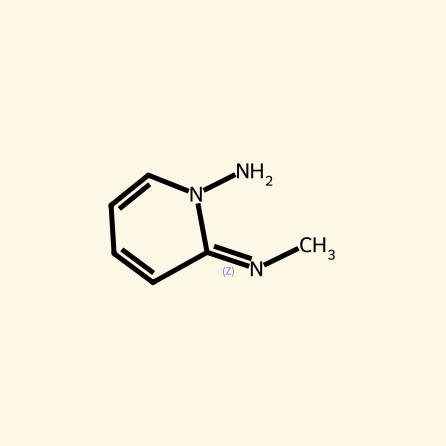 C/N=c1/ccccn1N